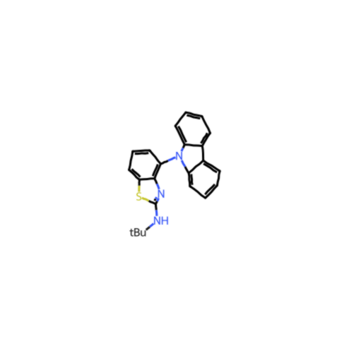 CC(C)(C)Nc1nc2c(-n3c4ccccc4c4ccccc43)cccc2s1